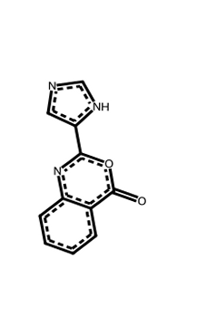 O=c1oc(-c2cnc[nH]2)nc2ccccc12